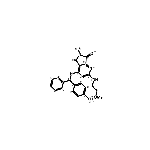 COCCNc1nc(NC(c2ccccc2)c2ccc(C)cc2)c2c(n1)C(=O)N(C(C)C)C2